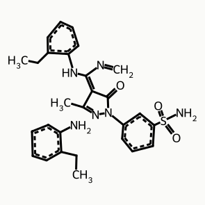 C=N/C(Nc1ccccc1CC)=C1\C(=O)N(c2cccc(S(N)(=O)=O)c2)N=C1C.CCc1ccccc1N